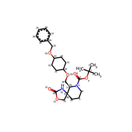 CC(C)(C)OC(=O)N1CCC[C@]2(COC(=O)N2)[C@H]1COC1CCC(OCc2ccccc2)CC1